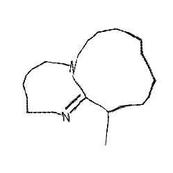 CC1CCCCCN2CCCN=C12